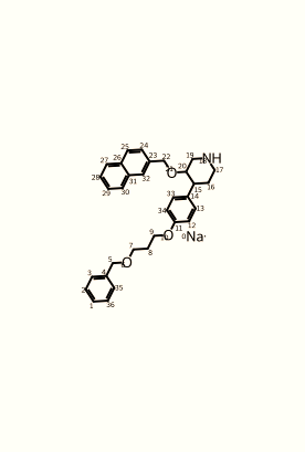 [Na].c1ccc(COCCCOc2ccc(C3CCNCC3OCc3ccc4ccccc4c3)cc2)cc1